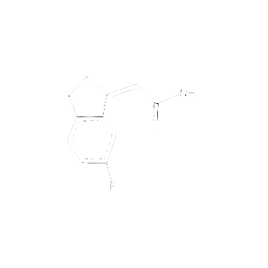 NC(=S)/C=C1/CCc2ccc(F)cc21